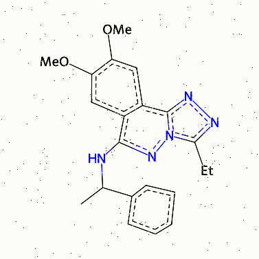 CCc1nnc2c3cc(OC)c(OC)cc3c(NC(C)c3ccccc3)nn12